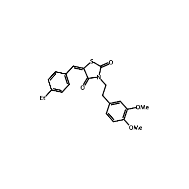 CCc1ccc(C=C2SC(=O)N(CCc3ccc(OC)c(OC)c3)C2=O)cc1